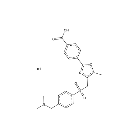 Cc1oc(-c2ccc(C(=O)O)cc2)nc1CS(=O)(=O)c1ccc(CN(C)C)cc1.Cl